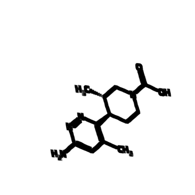 Cc1cc(N)nnc1[C@@H]1CCN(C(=O)O)C[C@H]1C